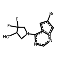 OC1CN(c2ncnn3cc(Br)cc23)CC1(F)F